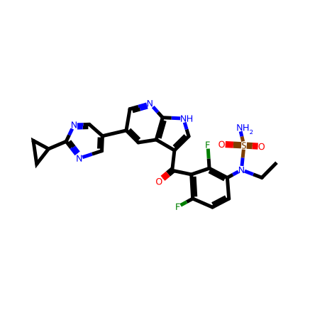 CCN(c1ccc(F)c(C(=O)c2c[nH]c3ncc(-c4cnc(C5CC5)nc4)cc23)c1F)S(N)(=O)=O